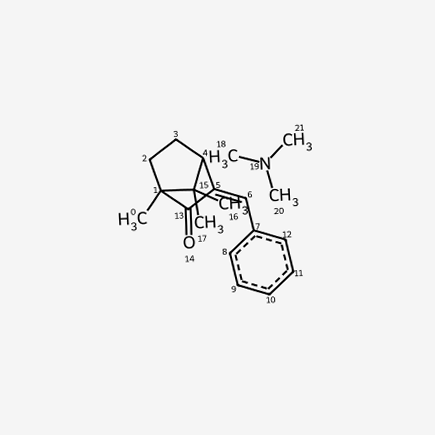 CC12CCC(/C(=C/c3ccccc3)C1=O)C2(C)C.CN(C)C